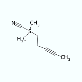 CC#CCCS(C)(C)C#N